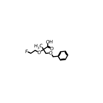 CC(COCc1ccccc1)(OCCF)C(=O)O